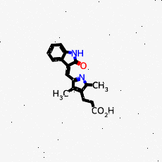 CC1=C(CCC(=O)O)C(C)N=C1C=C1C(=O)Nc2ccccc21